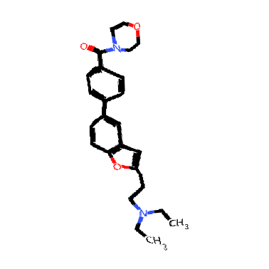 CCN(CC)CCc1cc2cc(-c3ccc(C(=O)N4CCOCC4)cc3)ccc2o1